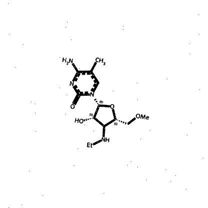 CCNC1[C@@H](COC)O[C@@H](n2cc(C)c(N)nc2=O)[C@H]1O